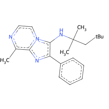 Cc1nccn2c(NC(C)(C)CC(C)(C)C)c(-c3ccccc3)nc12